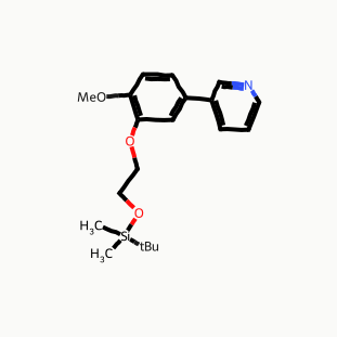 COc1ccc(-c2cccnc2)cc1OCCO[Si](C)(C)C(C)(C)C